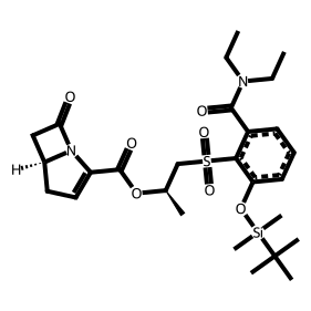 CCN(CC)C(=O)c1cccc(O[Si](C)(C)C(C)(C)C)c1S(=O)(=O)C[C@@H](C)OC(=O)C1=CC[C@H]2CC(=O)N12